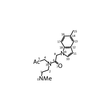 CNCCN(CC(C)=O)C(=O)Cn1ccc2cc(C)ccc21